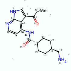 COC(=O)c1c[nH]c2nccc(NC(=O)[C@H]3CC[C@H](CN)CC3)c12